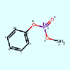 O=[PH](O[SiH3])Oc1ccccc1